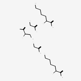 NC(CO)C(=O)O.NCC(=O)O.NCC(=O)O.NCCCCC(N)C(=O)O.NCCCCC(N)C(=O)O